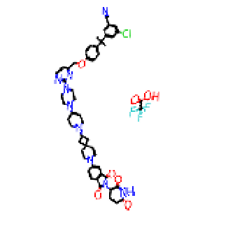 CC(C)(c1ccc(OCc2ccnc(N3CCN(C4CCN(C5CC6(CCN(c7ccc8c(c7)C(=O)N(C7CCC(=O)NC7=O)C8=O)CC6)C5)CC4)CC3)n2)cc1)c1cc(Cl)cc(C#N)c1.O=C(O)C(F)(F)F